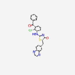 O=C1N=C(Nc2cccc(C(=O)c3ccccc3)c2Cl)S/C1=C\c1ccc2nccnc2c1